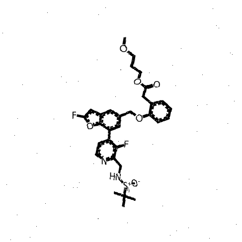 COCCCOC(=O)Cc1ccccc1OCc1cc(-c2ccnc(CN[S@@+]([O-])C(C)(C)C)c2F)c2oc(F)cc2c1